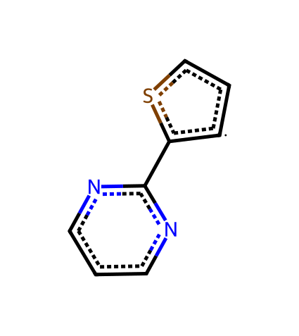 [c]1ccsc1-c1ncccn1